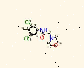 Cc1c(Cl)cc(NC(=O)CN2CCOCC2)cc1Cl